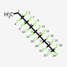 CCC(F)(F)C(F)(F)C(F)(F)C(F)(F)C(F)(F)C(F)(F)C(F)(F)C(F)(F)F